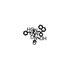 O=C(c1nc(CC2(c3cccc4ccccc34)CCCC2)nc(O)c1OCc1ccccc1)N(CCO)C1COC1